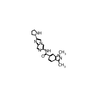 Cc1nn(C)c2cc(C(=O)Nc3cn4cc([C@H]5CCCN5)nc4cn3)ccc12